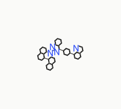 c1ccc2c3c(ccc2c1)N(c1nc(-c2ccc(-c4cccc5cccnc45)cc2)c2ccccc2n1)c1cccc2cccc-3c12